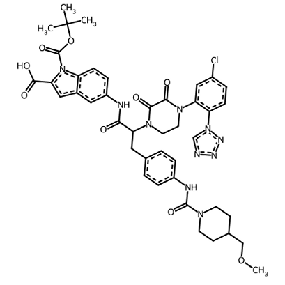 COCC1CCN(C(=O)Nc2ccc(CC(C(=O)Nc3ccc4c(c3)cc(C(=O)O)n4C(=O)OC(C)(C)C)N3CCN(c4cc(Cl)ccc4-n4cnnn4)C(=O)C3=O)cc2)CC1